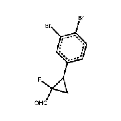 O=CC1(F)CC1c1ccc(Br)c(Br)c1